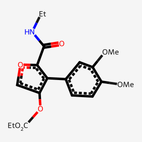 CCNC(=O)c1occ(OC(=O)OCC)c1-c1ccc(OC)c(OC)c1